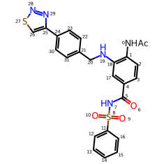 CC(=O)Nc1ccc(C(=O)NS(=O)(=O)c2ccccc2)cc1NCc1ccc(-c2csnn2)cc1